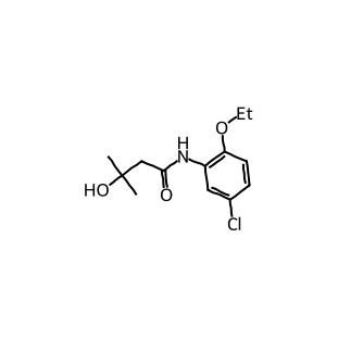 CCOc1ccc(Cl)cc1NC(=O)CC(C)(C)O